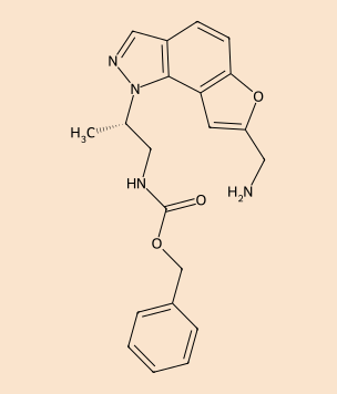 C[C@@H](CNC(=O)OCc1ccccc1)n1ncc2ccc3oc(CN)cc3c21